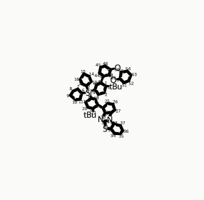 CC(C)(C)c1ccc([Si](c2ccccc2)(c2ccccc2)c2ccc(C(C)(C)C)c(-c3cccc4c3nc3sc5ccccc5n34)c2)cc1-c1cccc2c1Oc1ccccc1O2